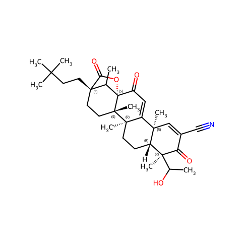 CC(O)[C@]1(C)C(=O)C(C#N)=C[C@]2(C)C3=CC(=O)[C@@]45OC(=O)[C@@](CCC(C)(C)C)(CC[C@@]4(C)[C@]3(C)CC[C@@H]12)C5C